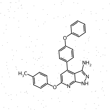 Cc1ccc(Oc2cc(-c3ccc(Oc4ccccc4)cc3)c3c(N)n[nH]c3n2)cc1